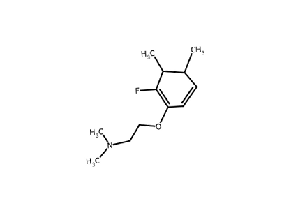 CC1C=CC(OCCN(C)C)=C(F)C1C